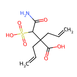 C=CCC(CC=C)(C(=O)O)C(C(N)=O)S(=O)(=O)O